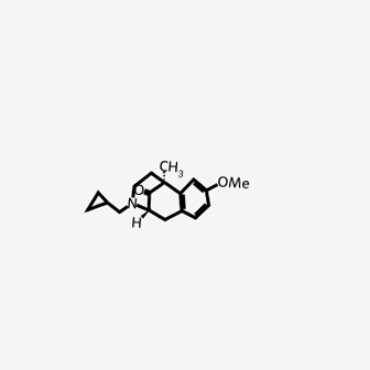 COc1ccc2c(c1)[C@]1(C)CCN(CC3CC3)[C@@H](C2)C1=O